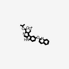 COCc1c(C(=O)OC(C)C)ncc2[nH]c3ccc(Oc4ccc5ccccc5n4)cc3c12